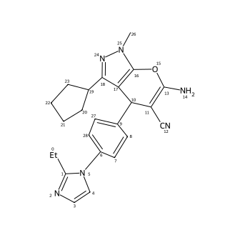 CCc1nccn1-c1ccc(C2C(C#N)=C(N)Oc3c2c(C2CCCC2)nn3C)cc1